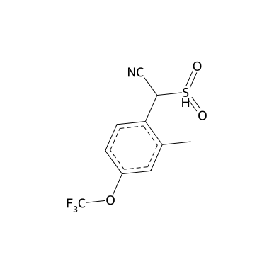 Cc1cc(OC(F)(F)F)ccc1C(C#N)[SH](=O)=O